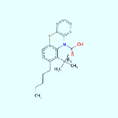 CCCCCc1ccc2c(c1C(C)(C)C)N(C(=O)O)c1ccccc1S2